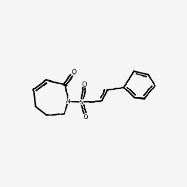 O=C1C=CCCCN1S(=O)(=O)C=Cc1ccccc1